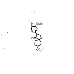 COc1nc(N2CCC3(CCN(C(=O)O)CC3)C2=O)ccc1Br